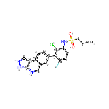 CCCS(=O)(=O)Nc1ccc(F)c(-c2ccc3c(cnc4[nH]ncc43)c2)c1Cl